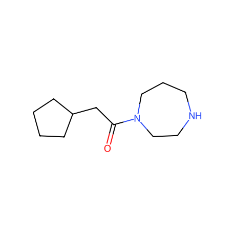 O=C(CC1CCCC1)N1CCCNCC1